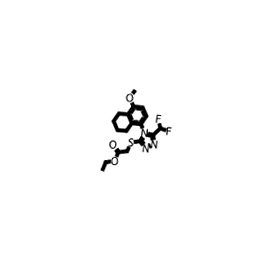 CCOC(=O)CSc1nnc(C(F)F)n1-c1ccc(OC)c2c1CCCC2